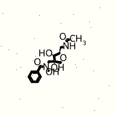 CC(=O)NC[C@H]1OC[C@@](O)(CN(O)C(=O)c2ccccc2)[C@@H]1O